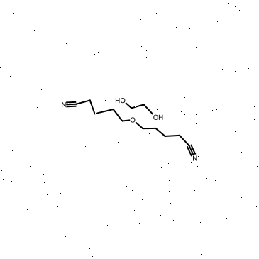 N#CCCCCOCCCCC#N.OCCO